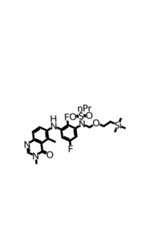 CCCS(=O)(=O)N(COCC[Si](C)(C)C)c1cc(F)cc(Nc2ccc3ncn(C)c(=O)c3c2C)c1F